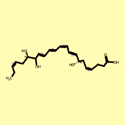 CC/C=C\C[C@@H](O)C(O)/C=C/C=C/C=C\C=C\[C@@H](O)C/C=C\CCC(=O)O